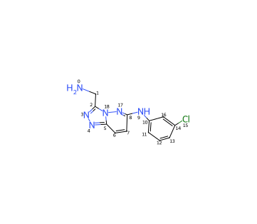 NCc1nnc2ccc(Nc3cccc(Cl)c3)nn12